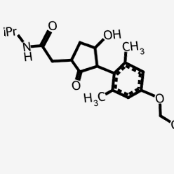 Cc1cc(OCC(F)(F)F)cc(C)c1C1C(=O)C(CC(=O)NC(C)C)CC1O